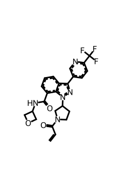 C=CC(=O)N1CCC(n2nc(-c3ccc(C(F)(F)F)nc3)c3cccc(C(=O)NC4COC4)c32)C1